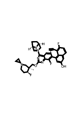 C#Cc1c(F)ccc2cc(O)cc(-c3c(F)cc4c(N5C[C@H]6CC[C@@H](C5)N6)nc(OC[C@]5(C)CN(C6CC6)CC[C@@H]5F)nc4c3F)c12